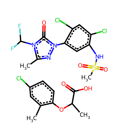 Cc1cc(Cl)ccc1OC(C)C(=O)O.Cc1nn(-c2cc(NS(C)(=O)=O)c(Cl)cc2Cl)c(=O)n1C(F)F